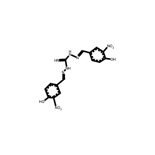 N=C(N/N=C/c1ccc(O)c([N+](=O)[O-])c1)N/N=C/c1ccc(O)c([N+](=O)[O-])c1